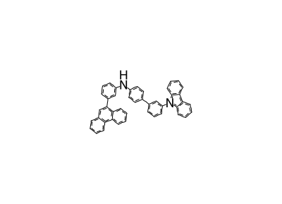 c1cc(Nc2ccc(-c3cccc(-n4c5ccccc5c5ccccc54)c3)cc2)cc(-c2cc3ccccc3c3ccccc23)c1